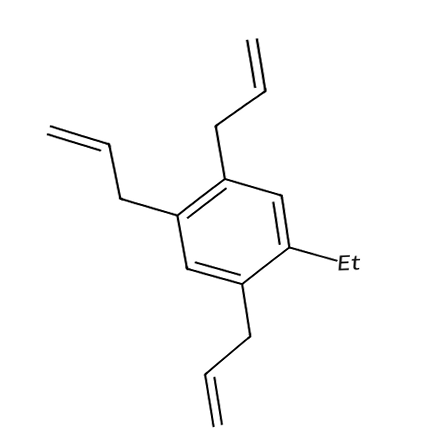 C=CCc1cc(CC=C)c(CC=C)cc1CC